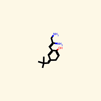 CC(C)(C)C=C1C=C(C=C(N)CN)C(O)=CC1